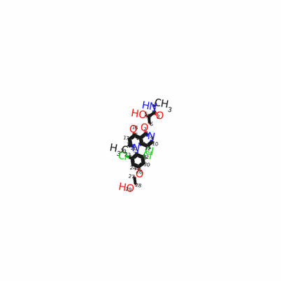 CNC(=O)[C@H](O)COc1ncc(Cl)c2c1c(=O)cc(C)n2-c1c(Cl)cc(OCCO)cc1Cl